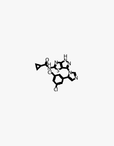 O=C(Nc1nc2[nH]nc(-n3cncc3-c3cc(Cl)cc(Cl)c3)c2s1)C1CC1